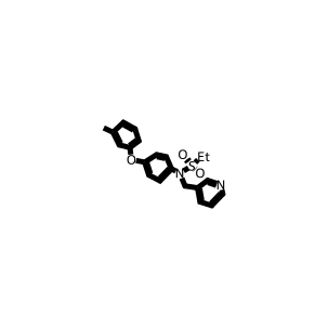 CCS(=O)(=O)N(Cc1cccnc1)c1ccc(Oc2cccc(C)c2)cc1